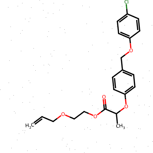 C=CCOCCOC(=O)C(C)Oc1ccc(COc2ccc(Cl)cc2)cc1